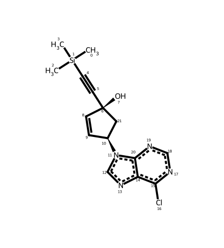 C[Si](C)(C)C#C[C@@]1(O)C=C[C@H](n2cnc3c(Cl)ncnc32)C1